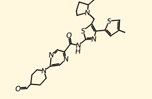 Cc1csc(-c2nc(NC(=O)c3cnc(N4CCC(C=O)CC4)cn3)sc2CN2CCCC2C)c1